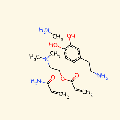 C=CC(=O)OCCN(C)C.C=CC(N)=O.CN.NCCc1ccc(O)c(O)c1